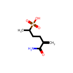 C=C(CCC(C)S(=O)(=O)O)C(N)=O